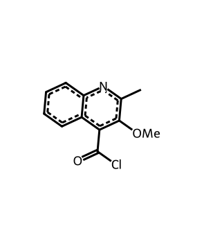 COc1c(C)nc2ccccc2c1C(=O)Cl